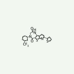 O=C1CN(c2cccc(C(F)(F)F)c2)C(=O)c2sc3nc(-c4cccs4)ccc3c2N1